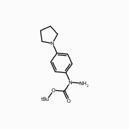 CC(C)(C)OC(=O)N(N)c1ccc(N2CCCC2)cc1